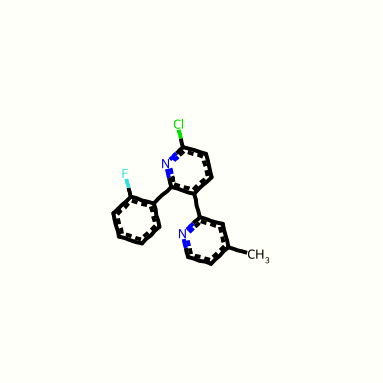 Cc1ccnc(-c2ccc(Cl)nc2-c2ccccc2F)c1